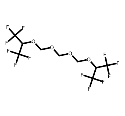 FC(F)(F)C(OCOCOCOC(C(F)(F)F)C(F)(F)F)C(F)(F)F